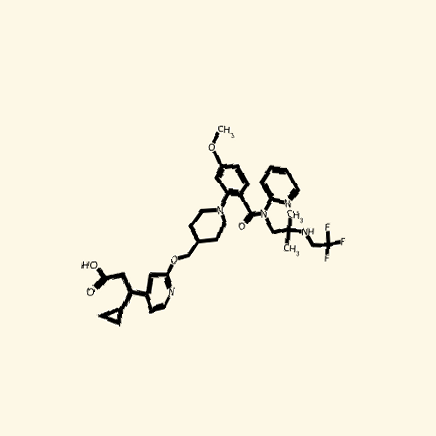 COc1ccc(C(=O)N(CC(C)(C)NCC(F)(F)F)c2ccccn2)c(N2CCC(COc3cc(C(CC(=O)O)C4CC4)ccn3)CC2)c1